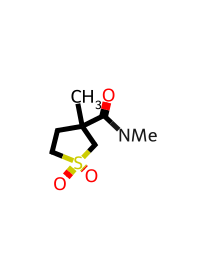 CNC(=O)C1(C)CCS(=O)(=O)C1